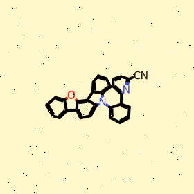 N#Cc1cccc(-c2ccccc2-n2c3ccccc3c3c4oc5ccccc5c4ccc32)n1